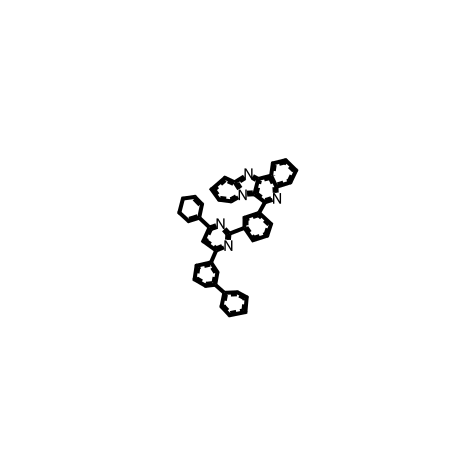 C1=CC(c2cc(-c3cccc(-c4ccccc4)c3)nc(-c3cccc(-c4nc5ccccc5c5nc6ccccn6c45)c3)n2)=CCC1